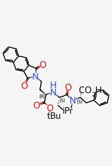 CC(C)C[C@H](N[C@H](CCN1C(=O)c2cc3ccccc3cc2C1=O)C(=O)OC(C)(C)C)C(=O)N(C)[C@@H](Cc1ccccc1)C(=O)O